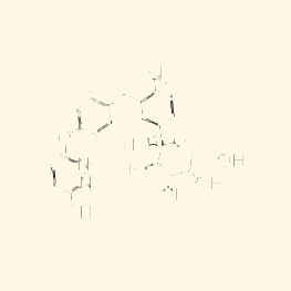 Cc1ccc(Oc2ccc(Cc3cc([C@]4(O)O[C@H](CO)[C@@H](O)[C@H](O)[C@H]4O)ccc3Cl)cc2)nn1